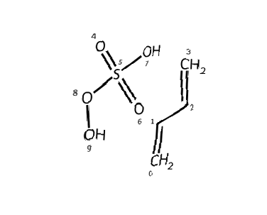 C=CC=C.O=S(=O)(O)OO